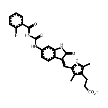 Cc1[nH]c(C=C2C(=O)Nc3cc(NC(=O)NC(=O)c4ccccc4F)ccc32)c(C)c1CCC(=O)O